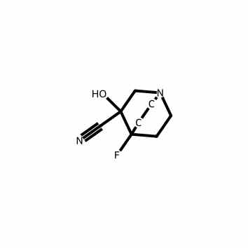 N#CC1(O)CN2CCC1(F)CC2